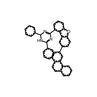 c1ccc(C2=NC(c3cccc4oc5ccc(-c6ccc7ccc8ccccc8c7c6)cc5c34)=NC(c3ccccc3)N2)cc1